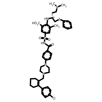 Cc1cc(S(=O)(=O)NC(=O)c2ccc(N3CCN(CC4=C(c5ccc(Cl)cc5)CCCC4)CC3)cc2)cc(C(=O)O)c1N[C@H](CCN(C)C)CSc1ccccc1